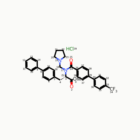 COC(=O)[C@H](Cc1ccc(-c2ccccc2)cc1)N(CN1CCCC1)C(=O)c1ccc(-c2ccc(C(F)(F)F)cc2)cc1.Cl